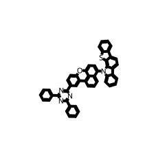 c1ccc(-c2nc(-c3ccccc3)nc(-c3ccc4c(c3)-c3cccc5c(-n6c7ccccc7c7ccc8c9ccccc9sc8c76)ccc(c35)O4)n2)cc1